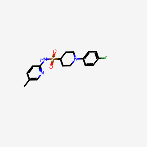 Cc1ccc(NS(=O)(=O)C2CCN(c3ccc(F)cc3)CC2)nc1